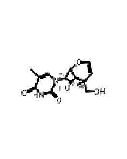 Cc1cn([C@@H]2O[C@@]3(CO)C=COC2C3O)c(=O)[nH]c1=O